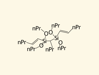 CCCC=C[Si](OCCC)(OCCC)C(CCC)[Si](C=CCCC)(OCCC)OCCC